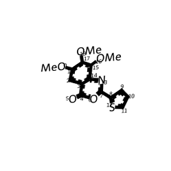 COc1cc2c(=O)oc(-c3cccs3)nc2c(OC)c1OC